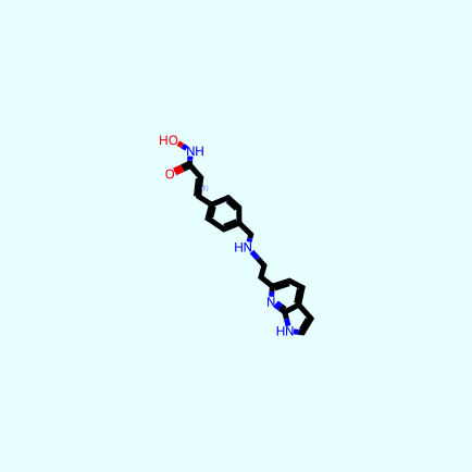 O=C(/C=C/c1ccc(CNCCc2ccc3cc[nH]c3n2)cc1)NO